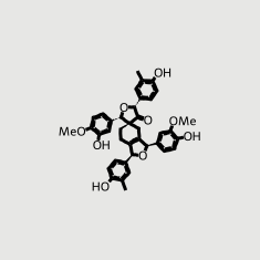 COc1ccc([C@@H]2O[C@H](c3ccc(O)c(C)c3)C(=O)[C@@]23CCC2=C(C3)[C@@H](c3ccc(O)c(OC)c3)O[C@H]2c2ccc(O)c(C)c2)cc1O